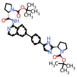 CC(C)(C)OC(=O)N1CCC[C@@H]1c1ncc(-c2ccc(-c3ccc4c(NC(=O)[C@@H]5CCCN5C(=O)OC(C)(C)C)nccc4c3)cc2)[nH]1